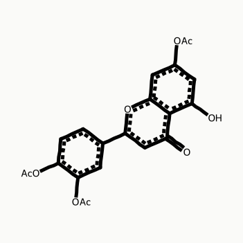 CC(=O)Oc1cc(O)c2c(=O)cc(-c3ccc(OC(C)=O)c(OC(C)=O)c3)oc2c1